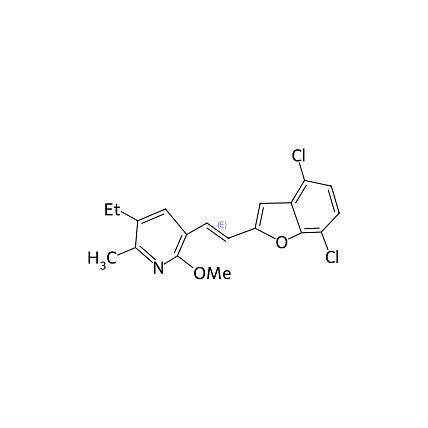 CCc1cc(/C=C/c2cc3c(Cl)ccc(Cl)c3o2)c(OC)nc1C